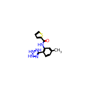 Cc1ccc(C2=NNNN2)c(NC(=O)c2cccs2)c1